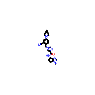 Cn1cnc2c1CC[C@H]2NC(=O)c1cn(Cc2ccc(N3CC4CC4C3)cc2C#N)cn1